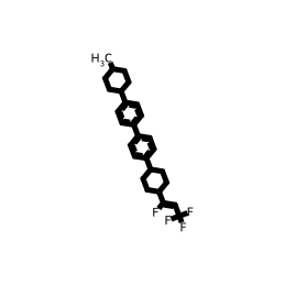 CC1CCC(c2ccc(-c3ccc(C4CCC(/C(F)=C/C(F)(F)F)CC4)cc3)cc2)CC1